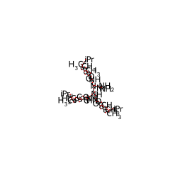 CC(C)CCCC(C)C1CCC2C3CC=C4CC(OC(=O)NCCCN(CCCCN(CCCNC(=O)OC5CCC6(C)C(=CCC7C6CCC6(C)C(C(C)CCCC(C)C)CCC76)C5)CCCNC(=O)OC5CCC6(C)C(=CCC7C6CCC6(C)C(C(C)CCCC(C)C)CCC76)C5)CCCNC(=N)N)CCC4(C)C3CCC12C